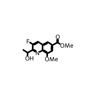 COC(=O)c1cc(OC)c2nc(C(C)O)c(F)cc2c1